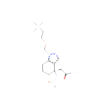 COC(=O)C[C@@]1(N[S@+]([O-])C(C)(C)C)CCCc2c1cnn2COCC[Si](C)(C)C